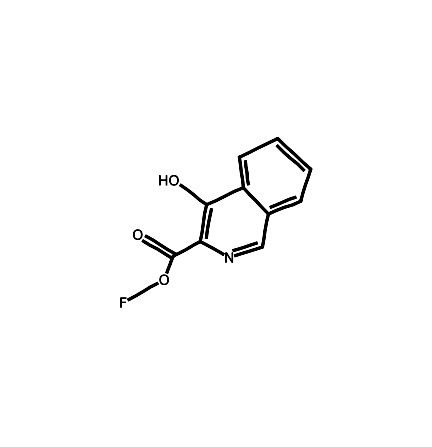 O=C(OF)c1ncc2ccccc2c1O